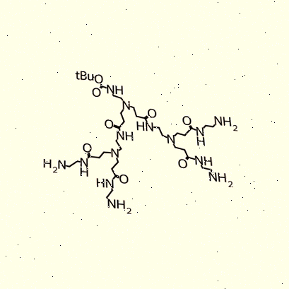 CC(C)(C)OC(=O)NCCN(CCC(=O)NCCN(CCC(=O)NCCN)CCC(=O)NCCN)CCC(=O)NCCN(CCC(=O)NCCN)CCC(=O)NCCN